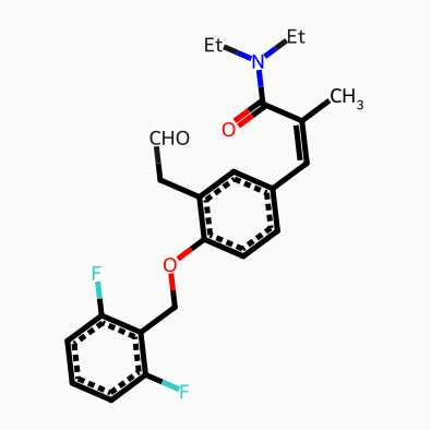 CCN(CC)C(=O)/C(C)=C\c1ccc(OCc2c(F)cccc2F)c(CC=O)c1